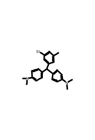 CCc1cc(C)cc(C(c2ccc(N(C)C)cc2)c2ccc(N(C)C)cc2)c1